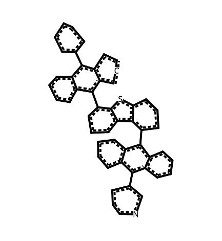 c1ccc(-c2c3ccccc3c(-c3cccc4c3sc3cccc(-c5c6ccccc6c(-c6cccnc6)c6ccccc56)c34)c3ccccc23)cc1